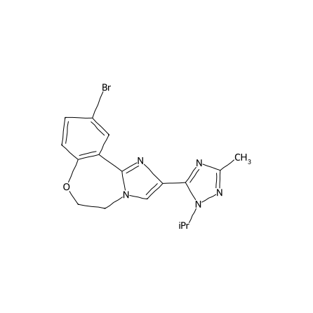 Cc1nc(-c2cn3c(n2)-c2cc(Br)ccc2OCC3)n(C(C)C)n1